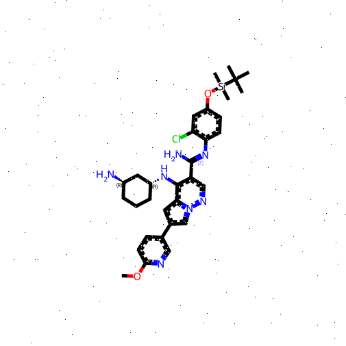 COc1ccc(-c2cc3c(N[C@@H]4CCC[C@@H](N)C4)c(/C(N)=N/c4ccc(O[Si](C)(C)C(C)(C)C)cc4Cl)cnn3c2)cn1